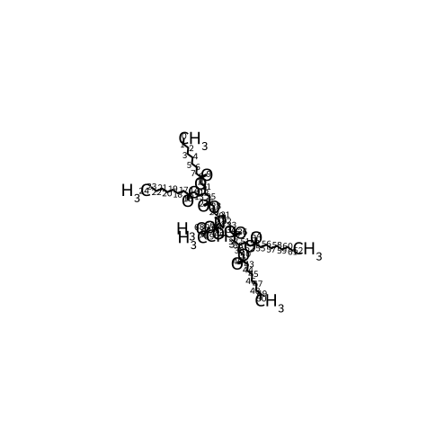 CCCCCCCCC(=O)OCC(COC(=O)CCCCCCCC)CC(=O)OC[C@H]1C[C@H](COC(=O)CC(COC(=O)CCCCCCCC)COC(=O)CCCCCCCC)N1C(=O)OC(C)(C)C